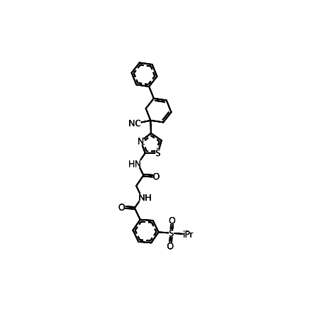 CC(C)S(=O)(=O)c1cccc(C(=O)NCC(=O)Nc2nc(C3(C#N)C=CC=C(c4ccccc4)C3)cs2)c1